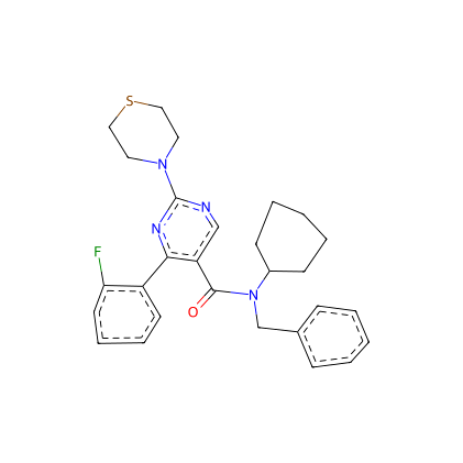 O=C(c1cnc(N2CCSCC2)nc1-c1ccccc1F)N(Cc1ccccc1)C1CCCCC1